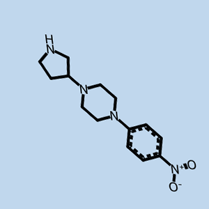 O=[N+]([O-])c1ccc(N2CCN(C3CCNC3)CC2)cc1